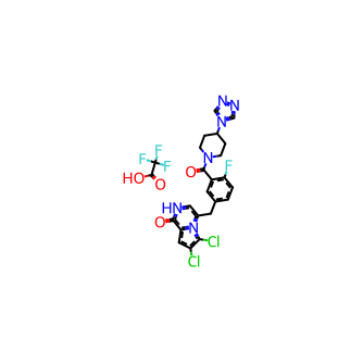 O=C(O)C(F)(F)F.O=C(c1cc(Cc2c[nH]c(=O)c3cc(Cl)c(Cl)n23)ccc1F)N1CCC(n2cnnc2)CC1